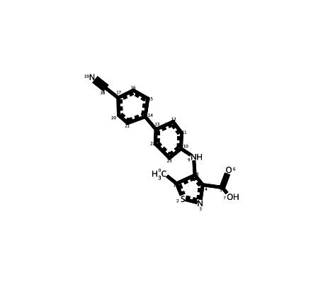 Cc1snc(C(=O)O)c1Nc1ccc(-c2ccc(C#N)cc2)cc1